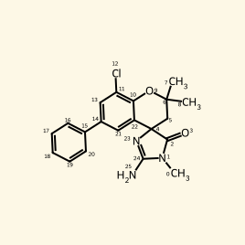 CN1C(=O)C2(CC(C)(C)Oc3c(Cl)cc(-c4ccccc4)cc32)N=C1N